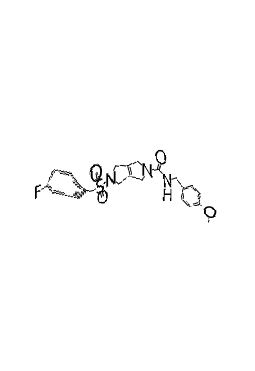 COc1ccc(CNC(=O)N2CC3=C(C2)CN(S(=O)(=O)c2ccc(F)cc2)C3)cc1